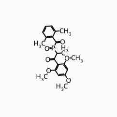 COc1cc(OC)c(C(=O)C(C)[P](=O)C(=O)c2c(C)cccc2C)c(OC)c1